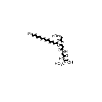 CCCCCCCCCCCCC[C@H](CC(=O)NCC(=O)N[C@@H](CO)C(=O)O)OC(=O)CCCCCCCCCCCC(C)C